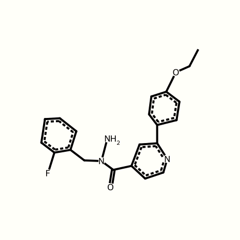 CCOc1ccc(-c2cc(C(=O)N(N)Cc3ccccc3F)ccn2)cc1